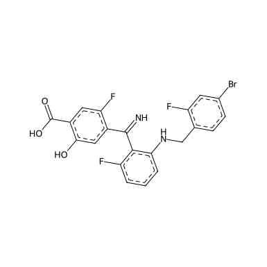 N=C(c1cc(O)c(C(=O)O)cc1F)c1c(F)cccc1NCc1ccc(Br)cc1F